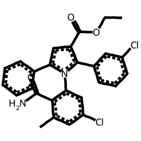 CCOC(=O)c1cc(-c2ccccc2)n(-c2cc(Cl)cc(C)c2C(N)=O)c1-c1cccc(Cl)c1